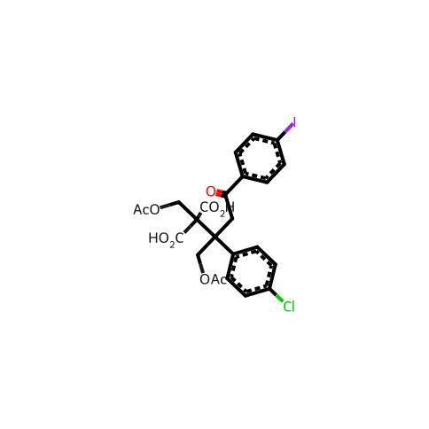 CC(=O)OCC(C(=O)O)(C(=O)O)C(COC(C)=O)(CC(=O)c1ccc(I)cc1)c1ccc(Cl)cc1